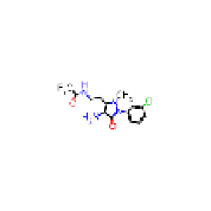 Cn1c(CCNC(=O)C(F)(F)F)c(N)c(=O)n1-c1cccc(Cl)c1